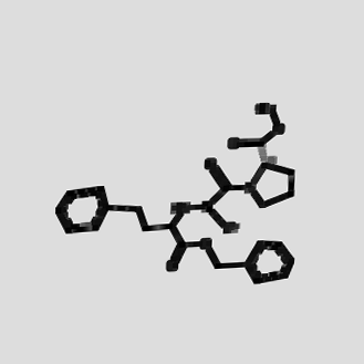 CC(C)N(NC(CCc1ccccc1)C(=O)OCc1ccccc1)C(=O)N1CCC[C@H]1C(=O)OC(C)(C)C